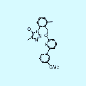 COc1cccc(-c2cccc(OCc3c(C)cccc3-n3nnn(C)c3=O)n2)c1